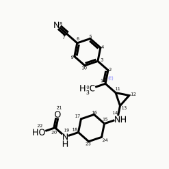 C/C(=C\c1ccc(C#N)cc1)C1CC1NC1CCC(NC(=O)O)CC1